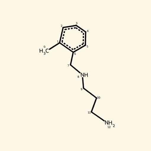 Cc1ccccc1CNCCCN